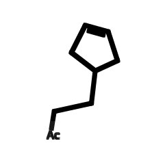 CC(=O)CCC1CC=CC1